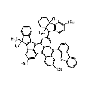 CC(C)(C)c1ccc2c(c1)N(c1cccc3c1sc1ccccc13)c1cc(N3c4ccc(C(C)(C)C)cc4C4(C)CCCCC34C)cc3c1B2c1cc(C(C)(C)C)cc2c4c(n-3c12)-c1ccccc1C4(C)C